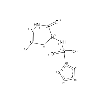 CC1=NNC(=O)N(NS(=O)(=O)c2cccs2)C1